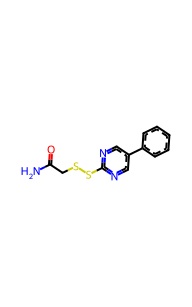 NC(=O)CSSc1ncc(-c2ccccc2)cn1